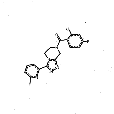 O=C(c1ccc(F)cc1Cl)N1CCn2c(nnc2-c2cccc(F)n2)C1